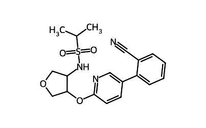 CC(C)S(=O)(=O)NC1COCC1Oc1ccc(-c2ccccc2C#N)cn1